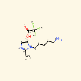 NCCCCCn1ccnc1[N+](=O)[O-].O=C(O)C(F)(F)F